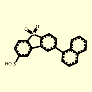 O=S(=O)(O)c1ccc2c(c1)-c1cc(-c3cccc4ccccc34)ccc1S2(=O)=O